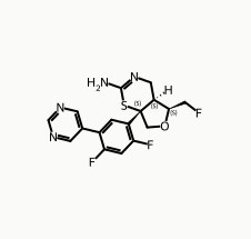 NC1=NC[C@H]2[C@@H](CF)OC[C@]2(c2cc(-c3cncnc3)c(F)cc2F)S1